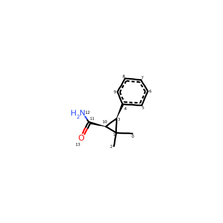 CC1(C)[C@H](c2ccccc2)[C@@H]1C(N)=O